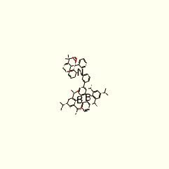 CC(C)c1cc(C(C)C)c(B2c3ccccc3B(c3c(C(C)C)cc(C(C)C)cc3C(C)C)c3cc(-c4cccc(N5c6ccccc6C6(c7ccccc75)c5ccccc5C(C)(C)c5ccccc56)c4)ccc32)c(C(C)C)c1